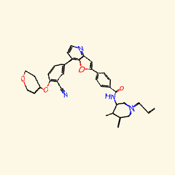 CCCN1CC(C)C(C)C(NC(=O)c2ccc(-c3cc4nccc(-c5ccc(OC6CCOCC6)c(C#N)c5)c4o3)cc2)C1